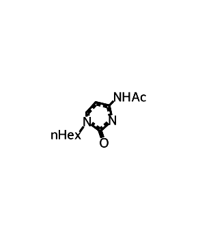 CCCCCCn1ccc(NC(C)=O)nc1=O